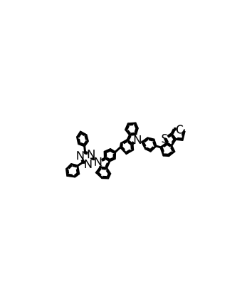 c1ccc(-c2nc(-c3ccccc3)nc(-n3c4ccccc4c4cc(-c5ccc6c(c5)c5ccccc5n6-c5ccc(-c6cccc7c6sc6ccccc67)cc5)ccc43)n2)cc1